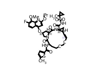 COc1c(F)ccc2c(O[C@@H]3C[C@H]4C(=O)N[C@]5(C(=O)NS(=O)(=O)C6(C)CC6)C[C@H]5/C=C\CCCCC[C@H](NC(=O)c5ccc(C)s5)C(=O)N4C3)cc(OC(C)C)nc12